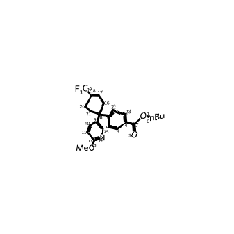 CCCCOC(=O)c1ccc(C2(c3ccc(OC)nc3)CCC(C(F)(F)F)CC2)cc1